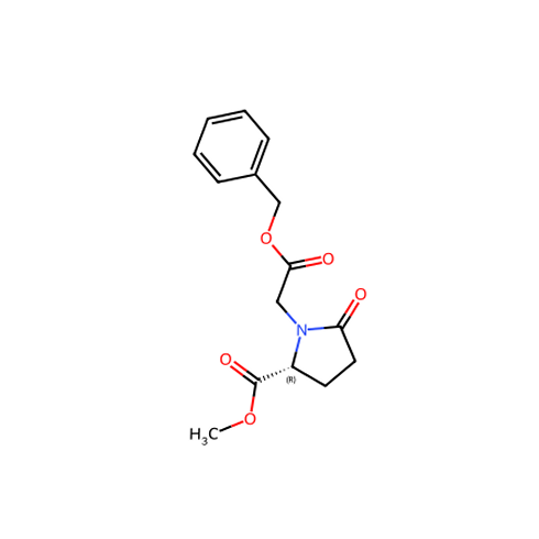 COC(=O)[C@H]1CCC(=O)N1CC(=O)OCc1ccccc1